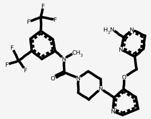 CN(C(=O)N1CCN(c2ncccc2OCc2ccnc(N)n2)CC1)c1cc(C(F)(F)F)cc(C(F)(F)F)c1